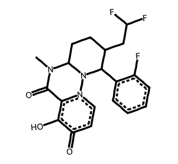 CN1C(=O)c2c(O)c(=O)ccn2N2C(c3ccccc3F)C(CC(F)F)CCC12